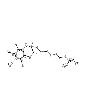 CCCC/C=C(/CCCCCCCC1(C)CCc2c(C)c(O)c(C)c(C)c2O1)[N+](=O)[O-]